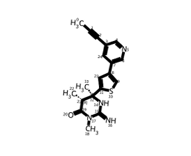 CC#Cc1cncc(-c2csc([C@@]3(C)NC(=N)N(C)C(=O)[C@@H]3C)c2)c1